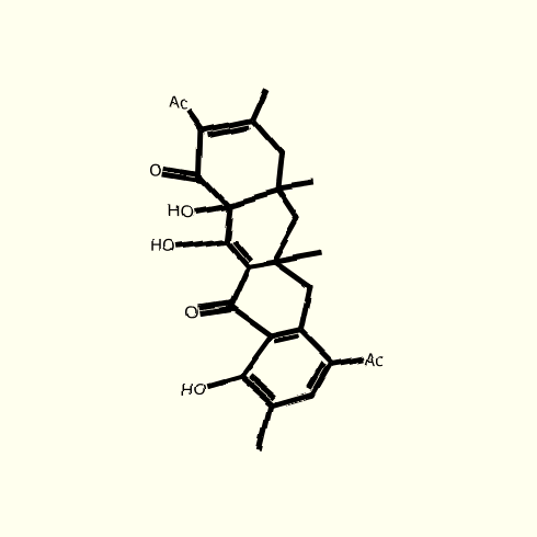 CC(=O)C1=C(C)CC2(C)CC3(C)Cc4c(C(C)=O)cc(C)c(O)c4C(=O)C3=C(O)C2(O)C1=O